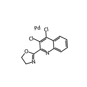 Clc1c(C2=NCCO2)nc2ccccc2c1Cl.[Pd]